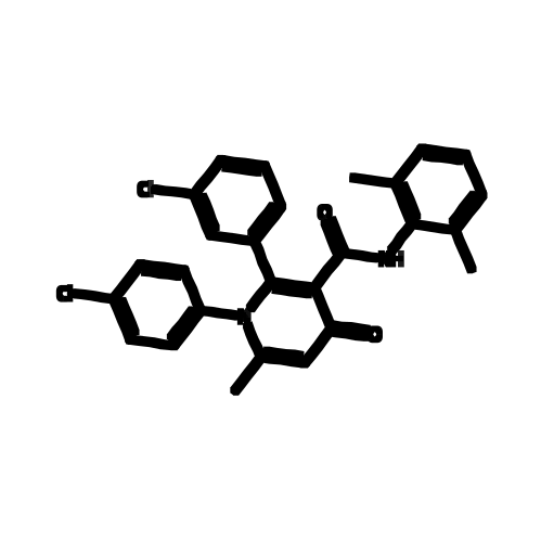 Cc1cccc(C)c1NC(=O)c1c(-c2cccc(Cl)c2)n(-c2ccc(Cl)cc2)c(C)cc1=O